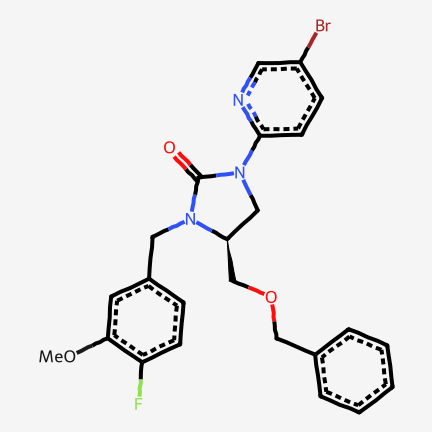 COc1cc(CN2C(=O)N(c3ccc(Br)cn3)C[C@H]2COCc2ccccc2)ccc1F